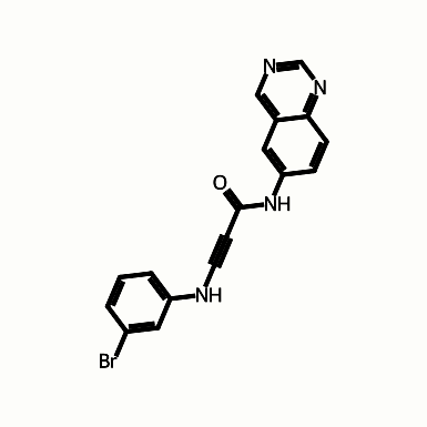 O=C(C#CNc1cccc(Br)c1)Nc1ccc2ncncc2c1